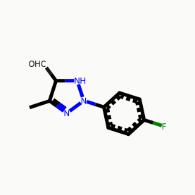 CC1=NN(c2ccc(F)cc2)NC1C=O